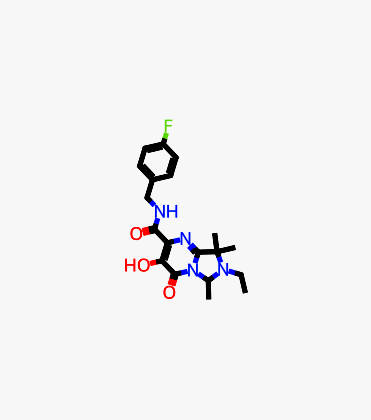 CCN1C(C)n2c(nc(C(=O)NCc3ccc(F)cc3)c(O)c2=O)C1(C)C